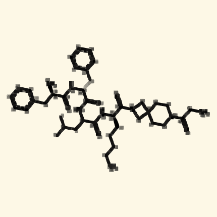 CC(C)CC(NC(=O)[C@@H](Cc1ccccc1)NC(=O)[C@H](N)Cc1ccccc1)C(=O)N[C@H](CCCCN)C(=O)N1CC2(CCN(C(=O)CN)CC2)C1